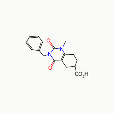 Cn1c2c(c(=O)n(Cc3ccccc3)c1=O)CC(C(=O)O)CC2